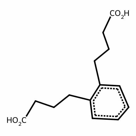 O=C(O)CCCc1ccccc1CCCC(=O)O